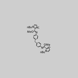 CCCCn1cc[n+](C)c1/C(=N/c1ccc(Cc2ccc(/N=C(\OC)c3n(CCCC)cc[n+]3C)cc2)cc1)OC